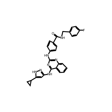 O=C(NCc1ccc(F)cc1)c1ccc(Nc2nc(Nc3cc(C4CC4)[nH]n3)c3ccccc3n2)cc1